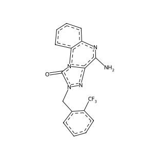 Nc1nc2ccccc2n2c(=O)n(Cc3ccccc3C(F)(F)F)nc12